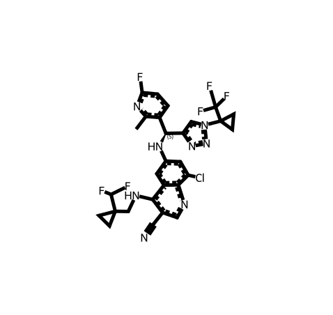 Cc1nc(F)ccc1[C@H](Nc1cc(Cl)c2ncc(C#N)c(NCC3(C(F)F)CC3)c2c1)c1cn(C2(C(F)(F)F)CC2)nn1